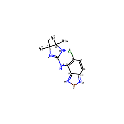 [2H]C1(C)N=C(Nc2c(Cl)ccc3nsnc23)NC1([2H])[2H]